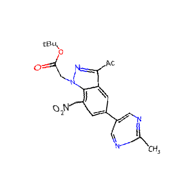 CC(=O)c1nn(CC(=O)OC(C)(C)C)c2c([N+](=O)[O-])cc(-c3cnc(C)nc3)cc12